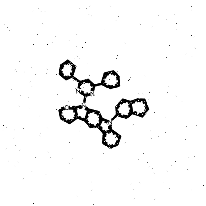 c1ccc(-c2cc(-c3ccccc3)nc(-n3c4ccccc4c4cc5c6ccccc6n(-c6ccc7ccccc7c6)c5cc43)n2)cc1